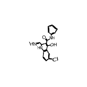 N=CC1Nc2ccc(Cl)cc2C(O)=C1C(=O)Nc1ccccc1